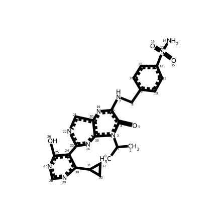 CC(C)n1c(=O)c(NCc2ccc(S(N)(=O)=O)cc2)nc2cnc(-c3c(O)ncnc3C3CC3)nc21